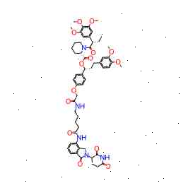 CC[C@H](C(=O)N1CCCC[C@H]1C(=O)O[C@H](CCc1ccc(OC)c(OC)c1)c1ccc(OCC(=O)NCCCCC(=O)Nc2cccc3c2CN(C2CCC(=O)NC2=O)C3=O)cc1)c1cc(OC)c(OC)c(OC)c1